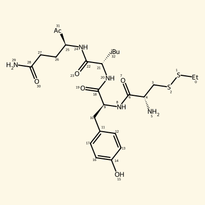 CCSSC[C@H](N)C(=O)N[C@@H](Cc1ccc(O)cc1)C(=O)N[C@H](C(=O)N[C@@H](CCC(N)=O)C(C)=O)C(C)CC